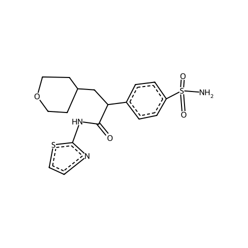 NS(=O)(=O)c1ccc(C(CC2CCOCC2)C(=O)Nc2nccs2)cc1